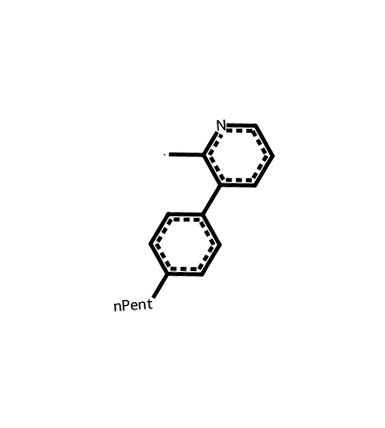 [CH2]c1ncccc1-c1ccc(CCCCC)cc1